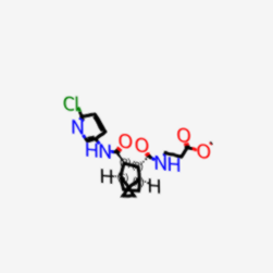 COC(=O)CCNC(=O)[C@H]1[C@H](C(=O)Nc2ccc(Cl)nc2)[C@@H]2CC[C@H]1C21CC1